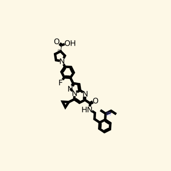 C/C=C(/C)c1ccccc1CCNC(=O)c1cc(C2CC2)n2nc(-c3ccc(N4CC[C@H](C(=O)O)C4)cc3F)cc2n1